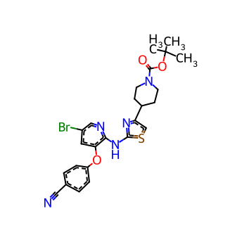 CC(C)(C)OC(=O)N1CCC(c2csc(Nc3ncc(Br)cc3Oc3ccc(C#N)cc3)n2)CC1